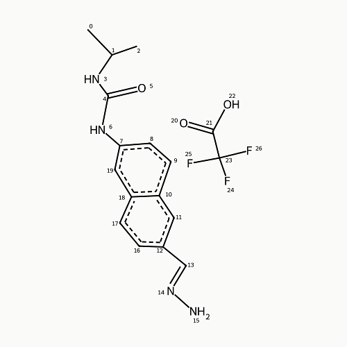 CC(C)NC(=O)Nc1ccc2cc(C=NN)ccc2c1.O=C(O)C(F)(F)F